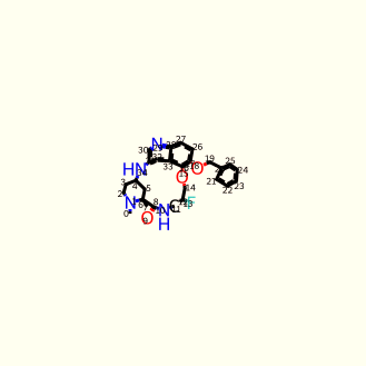 CN1CCC2CC1(C)C(=O)NCC(F)COc1c(OCc3ccccc3)ccc3ncc(cc13)N2